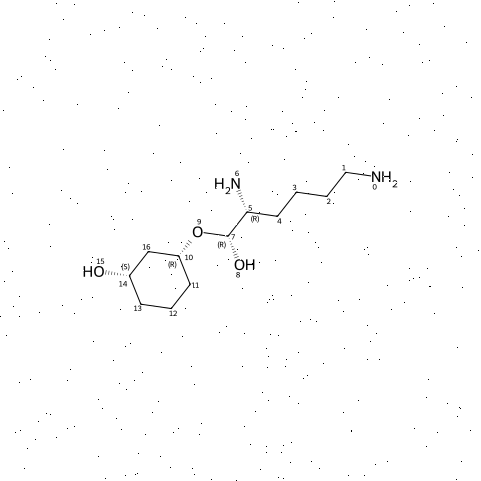 NCCCC[C@@H](N)[C@H](O)O[C@@H]1CCC[C@H](O)C1